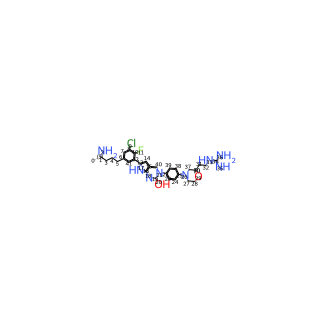 C[C@H](N)CCCc1cc(Cl)c(F)c(-c2cc3c([nH]2)=NC(O)N(c2ccc(N4CCO[C@H](CCNC(=N)N)C4)cc2)C=3)c1